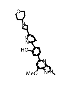 COc1cc(-c2ccc(-c3ccc(C4CN(C5CCOCC5)C4)nn3)c(O)c2)nc2cn(C)nc12